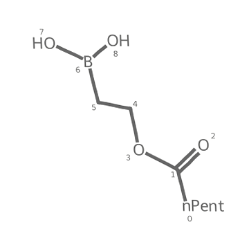 CCCCCC(=O)OCCB(O)O